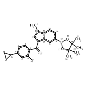 Cn1cc(C(=O)c2ccc(C3CC3)cc2F)c2cc(B3OC(C)(C)C(C)(C)O3)ccc21